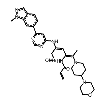 C=CC(=O)NC(/C=C(\COC)Nc1cc(-c2ccc3cnn(C)c3c2)ncn1)=C(/C)N1CCC(N2CCOCC2)CC1